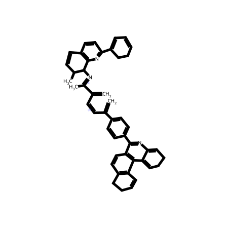 C=C(/C=C\C(=C)c1ccc(-c2nc3c(c4c5c(ccc24)CCC=C5)=CCCC=3)cc1)/C(C)=N/C1c2nc(C3=CC=CCC3)ccc2C=CC1C